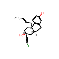 CCOC(=O)C=CC[C@]12CC[C@@](O)(C#CCl)C[C@@H]1CCc1cc(O)ccc12